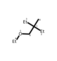 [CH2]C(CC)(CC)COCC